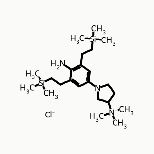 C[N+](C)(C)C1CCN(c2cc(CC[Si](C)(C)C)c(N)c(CC[Si](C)(C)C)c2)C1.[Cl-]